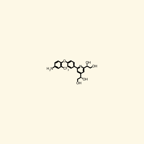 Nc1ccc(Oc2ccc(-c3cc([C@@H](O)CO)cc([C@@H](O)CO)n3)cc2)c(C(F)(F)F)c1